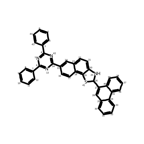 c1ccc(-c2nc(-c3ccccc3)nc(-c3ccc4c5c(ccc4c3)NC(c3cc4ccccc4c4ccccc34)S5)n2)cc1